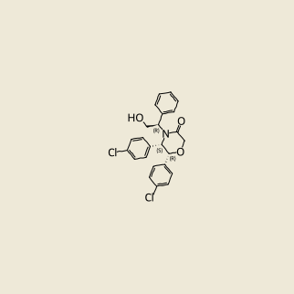 O=C1CO[C@H](c2ccc(Cl)cc2)[C@H](c2ccc(Cl)cc2)N1[C@@H](CO)c1ccccc1